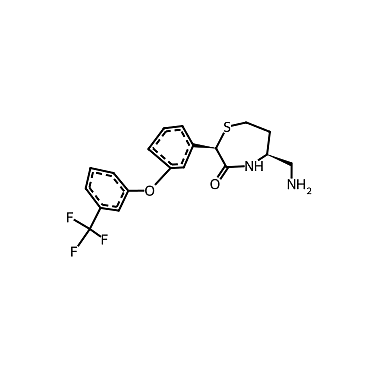 NC[C@@H]1CCS[C@H](c2cccc(Oc3cccc(C(F)(F)F)c3)c2)C(=O)N1